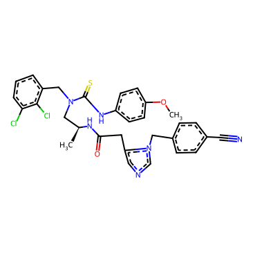 COc1ccc(NC(=S)N(Cc2cccc(Cl)c2Cl)C[C@H](C)NC(=O)Cc2cncn2Cc2ccc(C#N)cc2)cc1